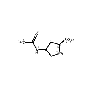 O=CC(=O)NC1CN[C@H](C(=O)O)C1